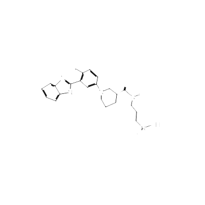 CN(C)CCCN(C)C(=O)[C@H]1CCCN(c2ccc(Cl)c(-c3nc4ccccc4[nH]3)c2)C1